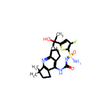 CC(C)(O)c1cc(F)c([S@@](N)(=O)=NC(=O)Nc2c3c(nc4c2CCC4(C)C)CCC3)s1